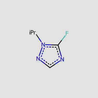 CC(C)n1ncnc1F